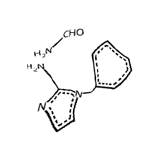 NC=O.Nc1nccn1-c1ccccc1